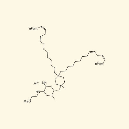 CCCCC/C=C\C/C=C\CCCCCCCCC1(CCCCCCCC/C=C\C/C=C\CCCCC)CCC(C)(C[C@H]2CC(NCCC)C(NCCOC)CC2C)CC1